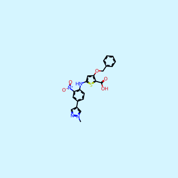 Cn1cc(-c2ccc(Nc3cc(OCc4ccccc4)c(C(=O)O)s3)c([N+](=O)[O-])c2)cn1